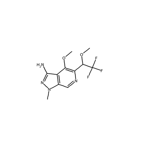 COc1c(C(OC)C(F)(F)F)ncc2c1c(N)nn2C